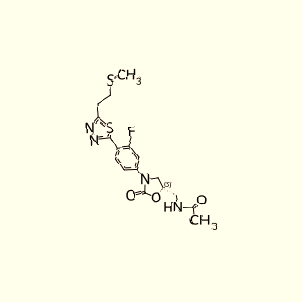 CSCCc1nnc(-c2ccc(N3C[C@H](CNC(C)=O)OC3=O)cc2F)s1